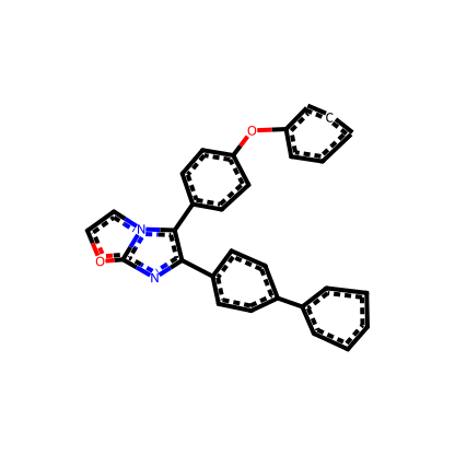 c1ccc(Oc2ccc(-c3c(-c4ccc(-c5ccccc5)cc4)nc4occn34)cc2)cc1